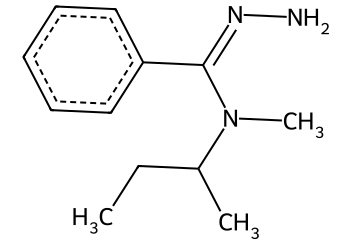 CCC(C)N(C)/C(=N\N)c1ccccc1